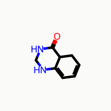 O=C1NCNC2=CC=CCC12